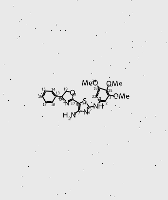 COc1cc(Nc2nc(N)c(C3=N[C@@H](c4ccccc4)CO3)s2)cc(OC)c1OC